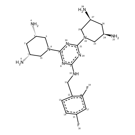 N[C@@H]1C[C@H](N)CN(c2nc(NCc3ccc(F)cc3F)nc(N3C[C@H](N)C[C@H](N)C3)n2)C1